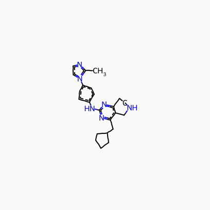 Cc1nccn1-c1ccc(Nc2nc3c(c(CC4CCCC4)n2)CNCC3)cc1